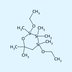 CCO[Si]1(C)CC(C)(C)O[Si](C)(OCC)[Si]1(C)C